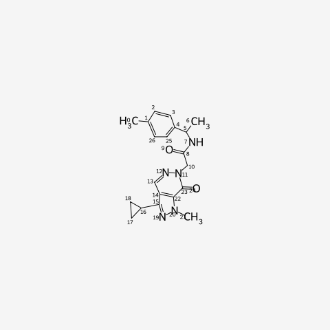 Cc1ccc(C(C)NC(=O)Cn2ncc3c(C4CC4)nn(C)c3c2=O)cc1